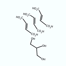 O=C(O)C=CC(=O)O.O=C(O)C=CC(=O)O.O=C(O)C=CC(=O)O.OCC(O)CO